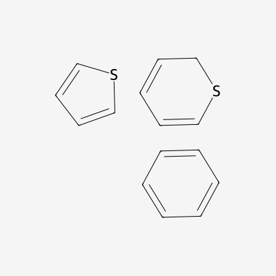 C1=CCSC=C1.c1ccccc1.c1ccsc1